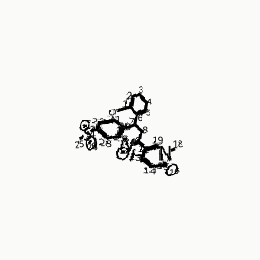 Cc1ccccc1C(CC(=NO)c1ccc(=O)n(C)c1)c1ccc(S(C)(=O)=O)cc1